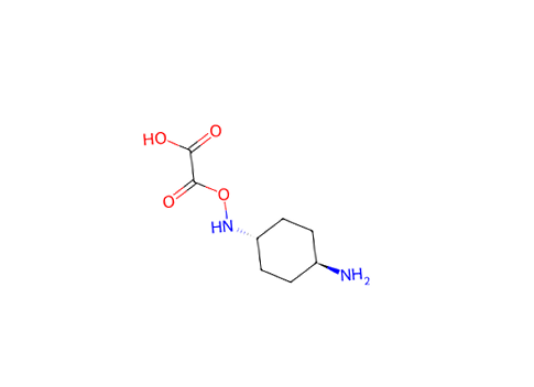 N[C@H]1CC[C@H](NOC(=O)C(=O)O)CC1